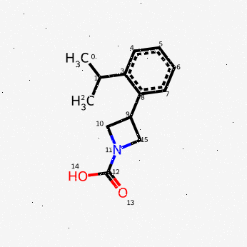 CC(C)c1ccccc1C1CN(C(=O)O)C1